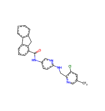 O=C(Nc1ccc(NCc2ncc(C(F)(F)F)cc2Cl)nc1)c1cccc2c1Cc1ccccc1-2